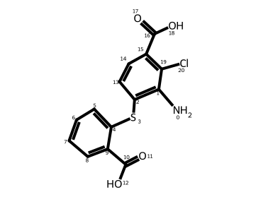 Nc1c(Sc2ccccc2C(=O)O)ccc(C(=O)O)c1Cl